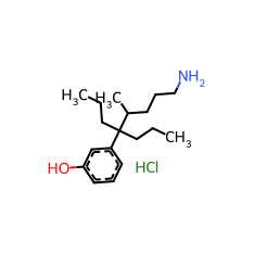 CCCC(CCC)(c1cccc(O)c1)C(C)CCCN.Cl